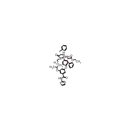 CCOC(=O)[C@H](Cc1ccccc1)NP(=O)(N[C@@H](Cc1ccccc1)C(=O)OCC)c1ccc(Oc2cc(OC(C)C)cc(C(=O)Nc3nccs3)c2)cc1